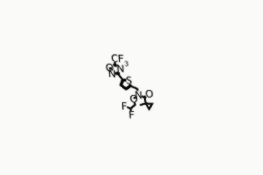 CC1(C(=O)N(Cc2ccc(-c3noc(C(F)(F)F)n3)s2)OCC(F)F)CC1